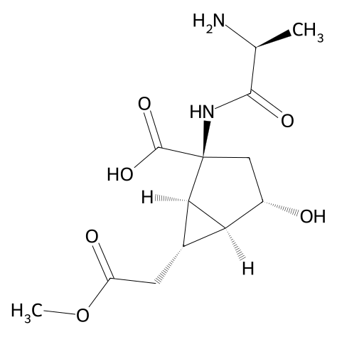 COC(=O)C[C@H]1[C@H]2[C@@H]1[C@](NC(=O)[C@H](C)N)(C(=O)O)C[C@@H]2O